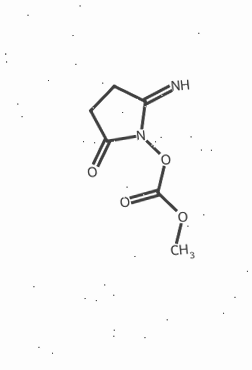 COC(=O)ON1C(=N)CCC1=O